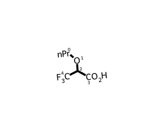 CCCOC(C(=O)O)C(F)(F)F